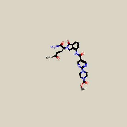 COC(=O)CC[C@@H](C(N)=O)N1Cc2c(NC(=O)c3cnc(N4CCN(C(=O)OC(C)(C)C)CC4)nc3)cccc2C1=O